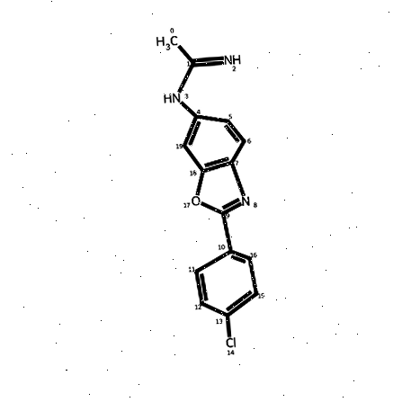 CC(=N)Nc1ccc2nc(-c3ccc(Cl)cc3)oc2c1